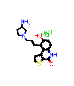 Cl.Cl.NC1CCN(C/C=C/c2c(O)ccc3[nH]c(=O)c4sccc4c23)C1